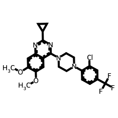 COc1cc2nc(C3CC3)nc(N3CCN(c4ccc(C(F)(F)F)cc4Cl)CC3)c2cc1OC